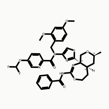 COc1ccc(CN(C(=O)c2ccc(OC(F)F)cn2)c2csc([C@]34CO[C@@H](C)C[C@H]3CCOC(NC(=O)c3ccccc3)=N4)n2)c(OC)c1